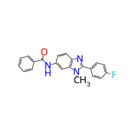 Cn1c(-c2ccc(F)cc2)nc2ccc(NC(=O)c3ccccc3)cc21